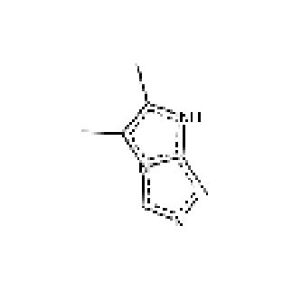 Cc1[nH]c2nncn2c1C